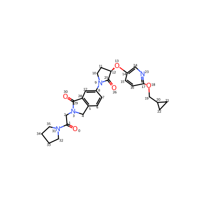 O=C(CN1Cc2ccc(N3CC[C@@H](Oc4ccc(OCC5CC5)nc4)C3=O)cc2C1=O)N1CCCC1